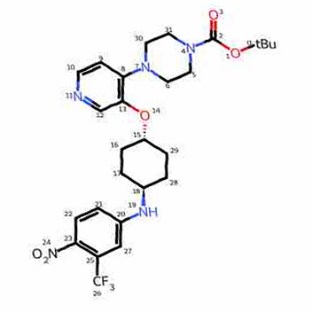 CC(C)(C)OC(=O)N1CCN(c2ccncc2O[C@H]2CC[C@H](Nc3ccc([N+](=O)[O-])c(C(F)(F)F)c3)CC2)CC1